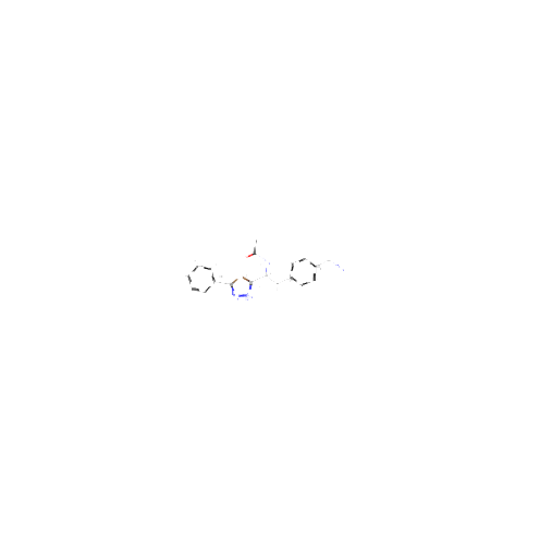 CC(=O)NC(Cc1ccc(CN)cc1)c1nnc(-c2ccccc2)s1